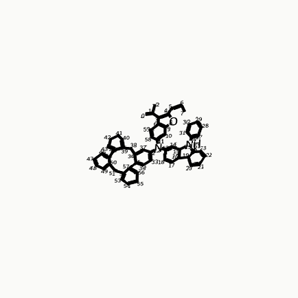 C=C(C)c1c(/C=C\C)oc2cc(N(C3=CC4C(C=C3)C3C=CC=C[C@H]3N4c3ccccc3)c3ccc4c(c3)CC3=CCCC=C3c3ccccc3Cc3ccccc3-4)ccc12